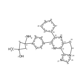 CC1(O)CC(N)(c2ccc(-c3nc4c(nc3-c3ccccc3)OCn3ccnc3-4)cc2)C1